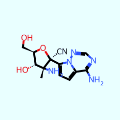 C[C@@]1(N)[C@H](O)[C@@H](CO)O[C@@]1(C#N)c1ccc2c(N)ncnn12